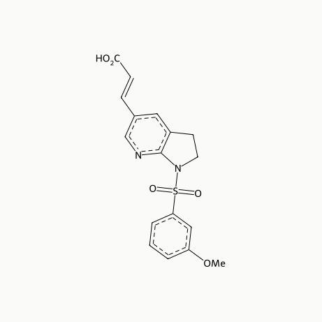 COc1cccc(S(=O)(=O)N2CCc3cc(C=CC(=O)O)cnc32)c1